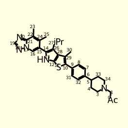 CC(=O)CN1CCC(c2ccc(-c3sc4[nH]c(-c5cn6ncnc6c(C)c5C)c(C(C)C)c4c3C)cc2)CC1